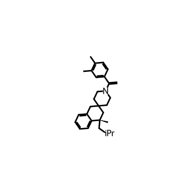 C=C(c1ccc(C)c(C)c1)N1CCC2(CC1)Cc1ccccc1[C@@](C)(CC(C)C)C2